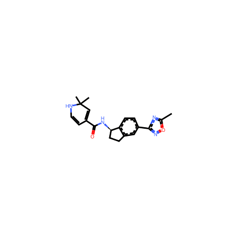 Cc1nc(-c2ccc3c(c2)CC[C@H]3NC(=O)C2=CC(C)(C)NC=C2)no1